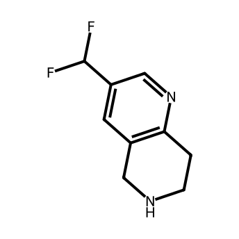 FC(F)c1cnc2c(c1)CNCC2